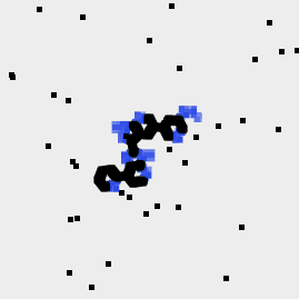 Nc1cncc(-c2cnc3[nH]nc(-c4nc5c(-c6ccccn6)ccnc5[nH]4)c3c2)c1